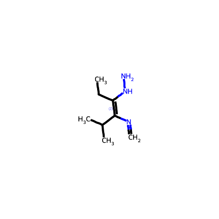 C=N/C(=C(/CC)NN)C(C)C